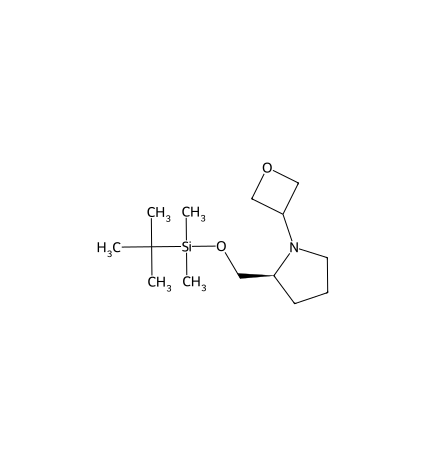 CC(C)(C)[Si](C)(C)OC[C@@H]1CCCN1C1COC1